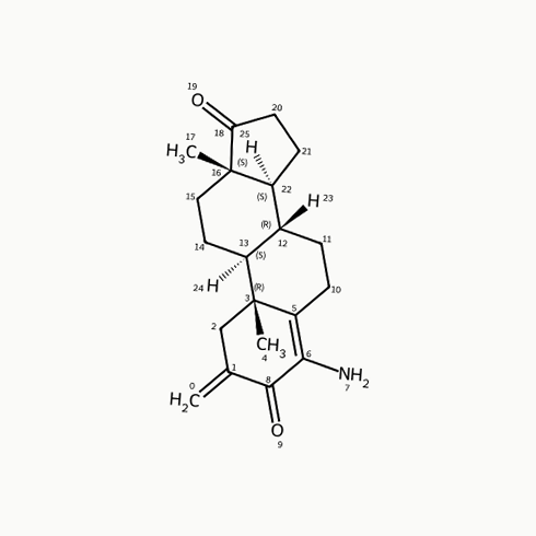 C=C1C[C@@]2(C)C(=C(N)C1=O)CC[C@@H]1[C@@H]2CC[C@]2(C)C(=O)CC[C@@H]12